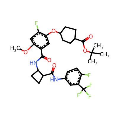 COc1cc(F)c(OC2CCC(C(=O)OC(C)(C)C)CC2)cc1C(=O)NC1CCC1C(=O)Nc1ccc(F)c(C(F)(F)F)c1